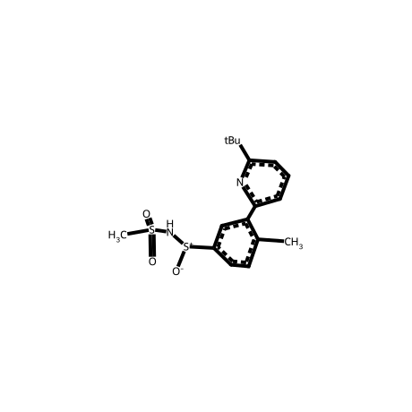 Cc1ccc([S+]([O-])NS(C)(=O)=O)cc1-c1cccc(C(C)(C)C)n1